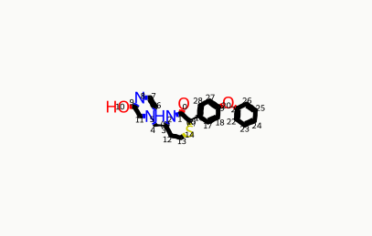 O=C1N[C@H](CN2C=CN=C(O)C2)CCS[C@@H]1c1ccc(Oc2ccccc2)cc1